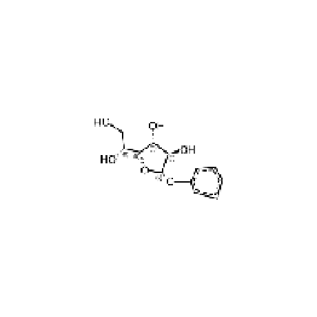 OC[C@@H](O)[C@H]1O[C@@H](Oc2ccccc2)[C@H](O)[C@H]1O